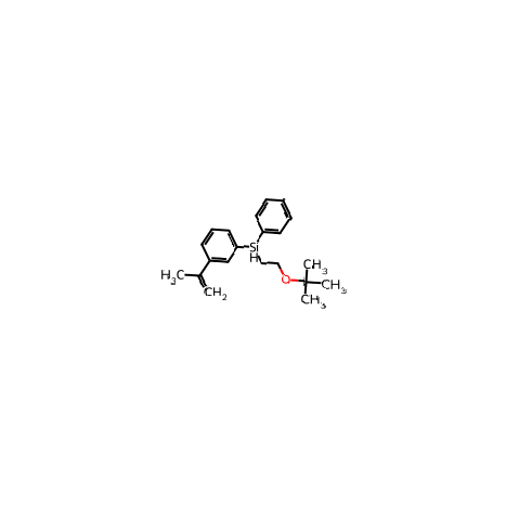 C=C(C)c1cccc([SiH](CCOC(C)(C)C)c2ccccc2)c1